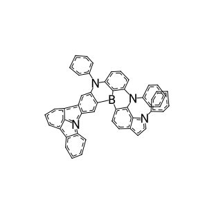 c1ccc(N2c3cc4c5cccc6c7ccccc7n(c4cc3B3c4ccc7ccn(-c8ccccc8)c7c4N(c4ccccc4)c4cccc2c43)c65)cc1